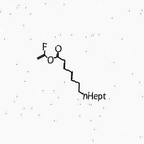 C=C(F)OC(=O)CCCCCCCCCCCCC